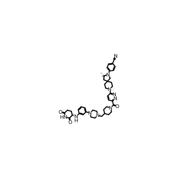 C[C@H]1CC2(CCN(c3ccc(C(=O)N4CCC(CN5CCN(c6cccc(N[C@H]7CCC(=O)NC7=O)c6)CC5)CC4)nn3)CC2)CN1c1ccc(C#N)cc1